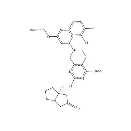 C=C1CN2CCC[C@@]2(COc2nc3c(c(OC)n2)CCN(c2cc(OCOC)cc4ccc(F)c(CC)c24)C3)C1